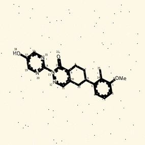 COc1cccc(C2CCc3c(cnn(-c4ncc(O)cn4)c3=O)C2)c1C